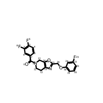 O=C(c1ccc(F)c(F)c1)N1CCc2nc(COc3cccc(F)c3)oc2C1